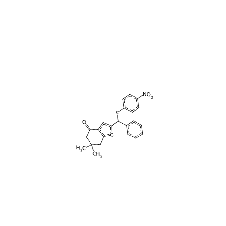 CC1(C)CC(=O)c2cc(C(Sc3ccc([N+](=O)[O-])cc3)c3ccccc3)oc2C1